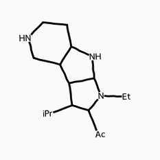 CCN1C2NC3CCNCC3C2C(C(C)C)C1C(C)=O